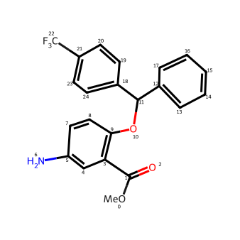 COC(=O)c1cc(N)ccc1OC(c1ccccc1)c1ccc(C(F)(F)F)cc1